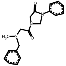 CN(CC(=O)N1CC(=O)N(c2ccccc2)C1)Cc1ccccc1